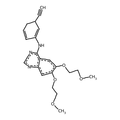 C#CC1C=C(Nc2ncnc3cc(OCCOC)c(OCCOC)cc23)C=CC1